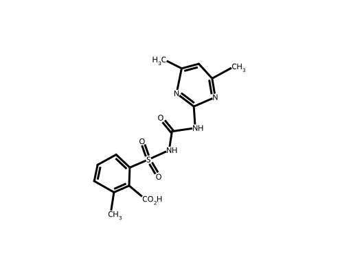 Cc1cc(C)nc(NC(=O)NS(=O)(=O)c2cccc(C)c2C(=O)O)n1